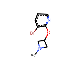 CC(=O)N1CC(Oc2ncccc2Br)C1